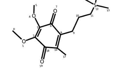 COC1=C(OC)C(=O)C(CCCS(C)(C)C)=C(C)C1=O